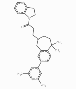 Cc1cc(-c2ccc3c(c2)CN(CCC(=O)N2CCc4ccccc42)CCC3(C)C)cc(C)n1